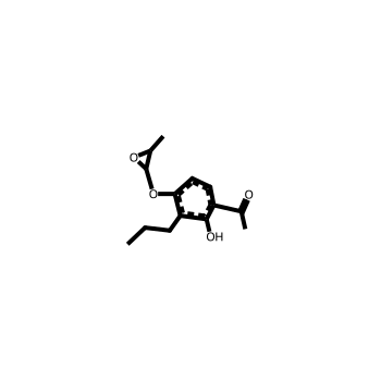 CCCc1c(OC2OC2C)ccc(C(C)=O)c1O